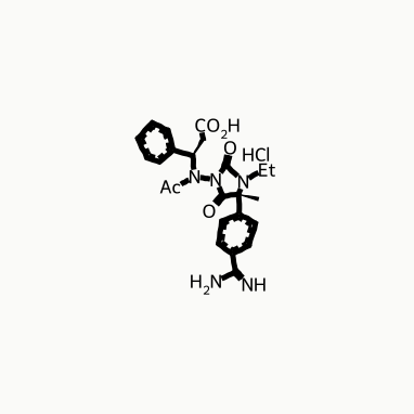 CCN1C(=O)N(N(C(C)=O)[C@H](CC(=O)O)c2ccccc2)C(=O)[C@@]1(C)c1ccc(C(=N)N)cc1.Cl